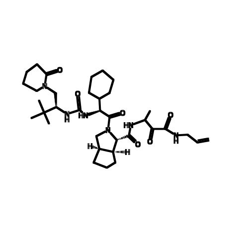 C=CCNC(=O)C(=O)C(C)NC(=O)[C@@H]1[C@H]2CCC[C@H]2CN1C(=O)[C@@H](NC(=O)N[C@H](CN1CCCCC1=O)C(C)(C)C)C1CCCCC1